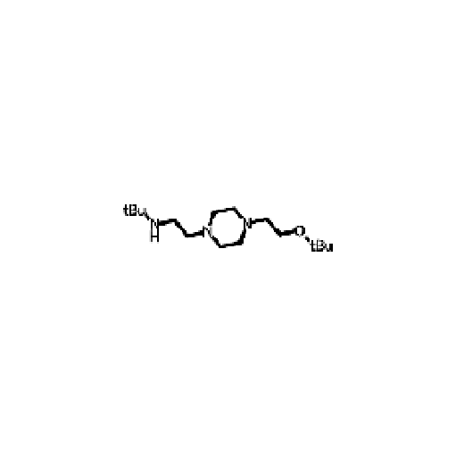 CC(C)(C)NCCN1CCN(CCOC(C)(C)C)CC1